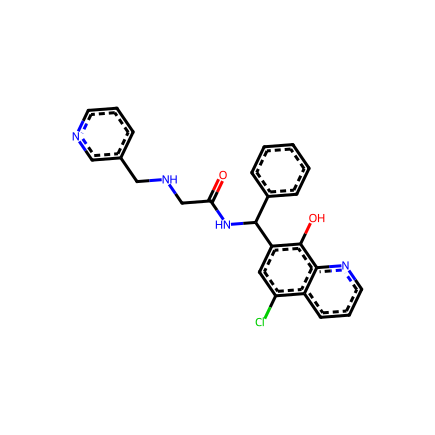 O=C(CNCc1cccnc1)NC(c1ccccc1)c1cc(Cl)c2cccnc2c1O